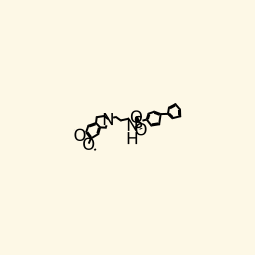 COc1cc2c(cc1OC)CN(CCCNS(=O)(=O)c1ccc(-c3ccccc3)cc1)CC2